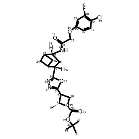 C[C@@H]1C(c2nnc([C@H]3C[C@@H](NC(=O)COc4ccc(Cl)c(F)c4)C4CC3C4)o2)CN1C(=O)OC(C)(C)C